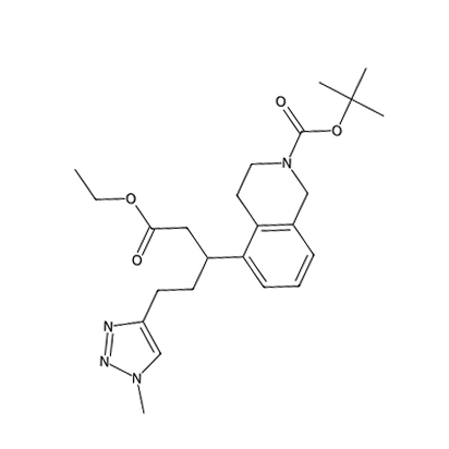 CCOC(=O)CC(CCc1cn(C)nn1)c1cccc2c1CCN(C(=O)OC(C)(C)C)C2